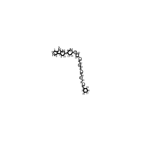 Cn1c2ccncc2c2ccc(-c3ccc(O[C@H]4C[C@H](OCCOCCOCCOCCOCc5ccccc5)C4)nc3)nc21